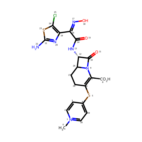 C[n+]1ccc(SC2=C(C(=O)O)N3C(=O)[C@@H](NC(=O)/C(=N\O)c4nc(N)sc4Cl)C3CC2)cc1